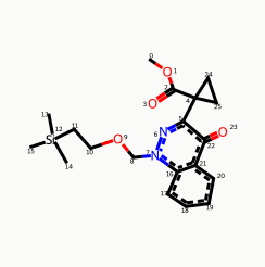 COC(=O)C1(c2nn(COCC[Si](C)(C)C)c3ccccc3c2=O)CC1